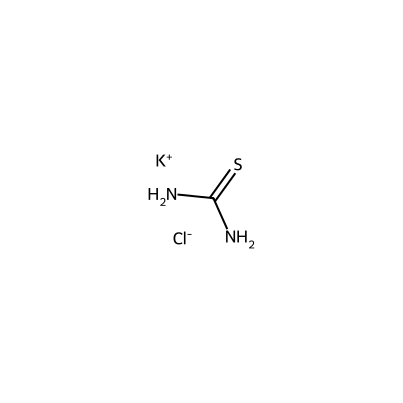 NC(N)=S.[Cl-].[K+]